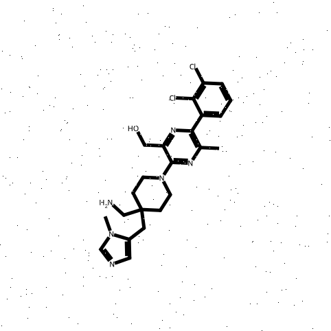 Cc1nc(N2CCC(CN)(Cc3cncn3C)CC2)c(CO)nc1-c1cccc(Cl)c1Cl